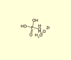 O.O.O=P(O)(O)O.[Zr]